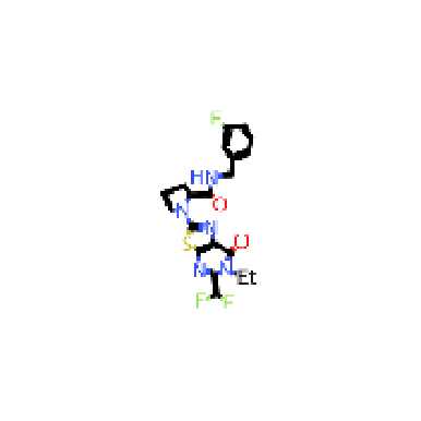 CCn1c(C(F)F)nc2sc(N3CCCC3C(=O)NCc3cccc(F)c3)nc2c1=O